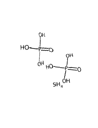 O=P(O)(O)O.O=P(O)(O)O.[SiH4]